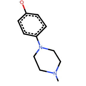 CN1CCN(c2ccc([O])cc2)CC1